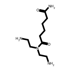 NCCN(CCN)C(=O)CCCCC(N)=O